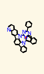 c1ccc(-c2nc(-c3ccccc3)nc(-n3c4cc5cccnc5cc4c4ccc5c6ccccc6n(-c6ccccc6)c5c43)n2)cc1